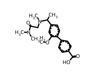 COc1cc(C(C)N(C)CC(=O)N(C)C)ccc1-c1ccc(C(=O)O)cc1